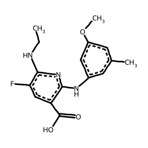 CCNc1nc(Nc2cc(C)cc(OC)c2)c(C(=O)O)cc1F